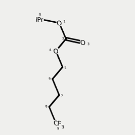 CC(C)OC(=O)OCCCCC(F)(F)F